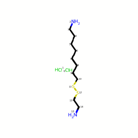 Cl.Cl.NCCCCCCCCSSCCN